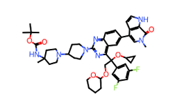 Cn1cc(-c2ccc3nc(N4CCC(N5CCC(C)(NC(=O)OC(C)(C)C)CC5)CC4)nc(C(COC4CCCCO4)(OC4CC4)c4cc(F)cc(F)c4)c3c2)c2cc[nH]c2c1=O